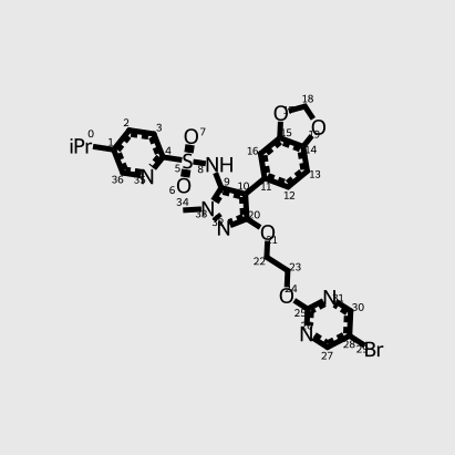 CC(C)c1ccc(S(=O)(=O)Nc2c(-c3ccc4c(c3)OCO4)c(OCCOc3ncc(Br)cn3)nn2C)nc1